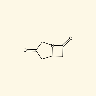 O=C1CC2CC(=O)N2C1